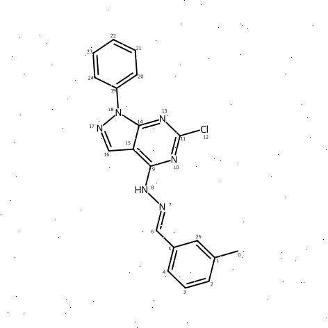 Cc1cccc(C=NNc2nc(Cl)nc3c2cnn3-c2ccccc2)c1